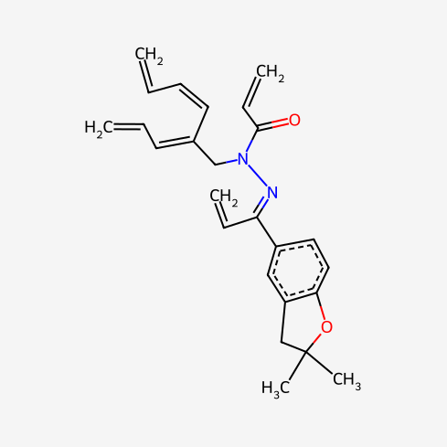 C=C/C=C\C(=C/C=C)CN(/N=C(\C=C)c1ccc2c(c1)CC(C)(C)O2)C(=O)C=C